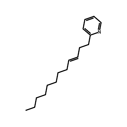 CCCCCCCC/C=C/CCc1ccccn1